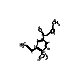 C=Cc1cc(C(=O)OC)ccc1C